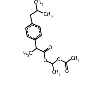 CC(=O)OC(C)OC(=O)C(C)c1ccc(CC(C)C)cc1